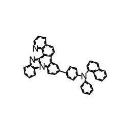 c1ccc(N(c2ccc(-c3ccc4c(c3)c3ccc5cccnc5c3c3nc5ccccc5n43)cc2)c2cccc3ccccc23)cc1